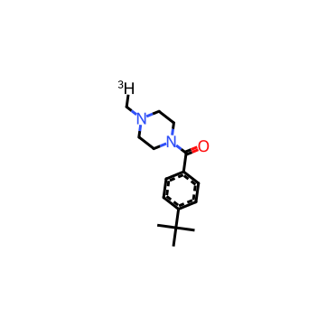 [3H]CN1CCN(C(=O)c2ccc(C(C)(C)C)cc2)CC1